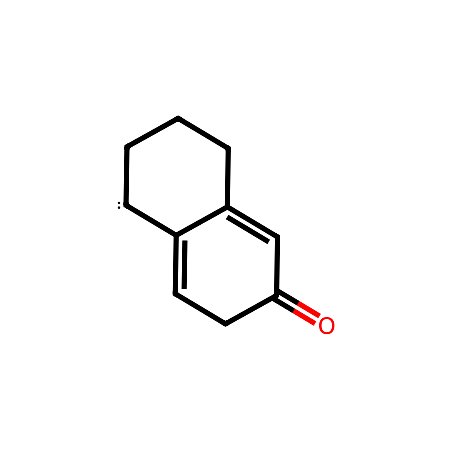 O=C1C=C2CCC[C]C2=CC1